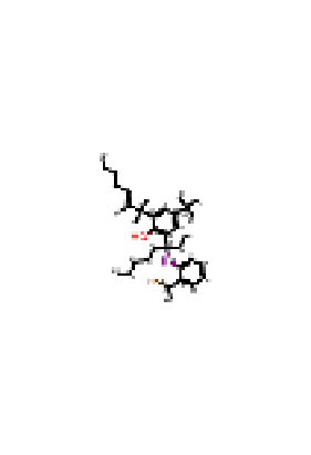 CCCCCC(C)C(C)(C)c1cc(C(C)(C)C)cc(C(CC)(CCCCC)Pc2ccccc2C(C)S)c1O